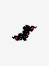 C=Cc1ccc(CC2(c3ccc(C)cc3)c3ccccc3-c3ccc(N(c4ccccc4)c4ccc5c(c4)C(c4ccccc4)(c4ccccc4)c4cc(N(c6ccccc6)c6ccc7c(c6)C(Cc6ccc(C=C)cc6)(c6ccc(C)cc6)c6ccccc6-7)ccc4-5)cc32)cc1